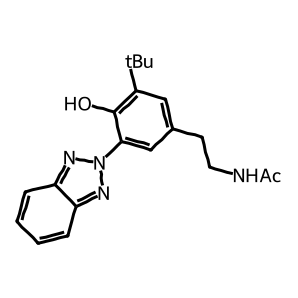 CC(=O)NCCc1cc(-n2nc3ccccc3n2)c(O)c(C(C)(C)C)c1